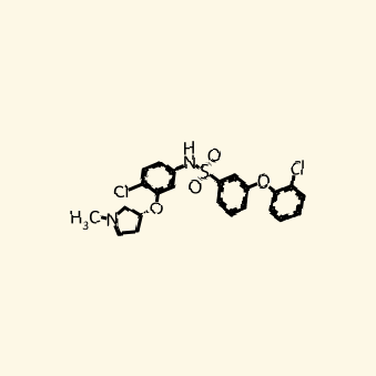 CN1CC[C@@H](Oc2cc(NS(=O)(=O)c3cccc(Oc4ccccc4Cl)c3)ccc2Cl)C1